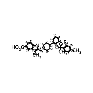 Cc1ccc(C2(C)Oc3cccc(C4CCN(Cc5nc6ccc(C(=O)O)cc6n5C)CC4)c3O2)c(F)c1